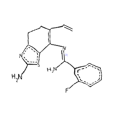 C=CC1=C(/N=C(\N)c2ccccc2F)c2sc(N)nc2CC1